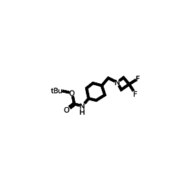 CC(C)(C)OC(=O)NC1CCC(CN2CC(F)(F)C2)CC1